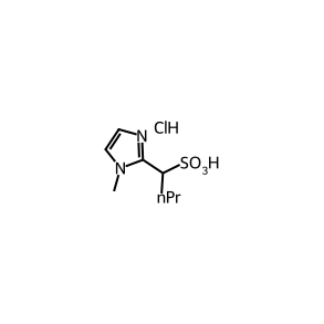 CCCC(c1nccn1C)S(=O)(=O)O.Cl